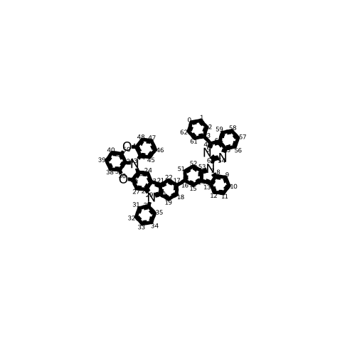 c1ccc(-c2nc(-n3c4ccccc4c4cc(-c5ccc6c(c5)c5cc7c(cc5n6-c5ccccc5)Oc5cccc6c5N7c5ccccc5O6)ccc43)nc3ccccc23)cc1